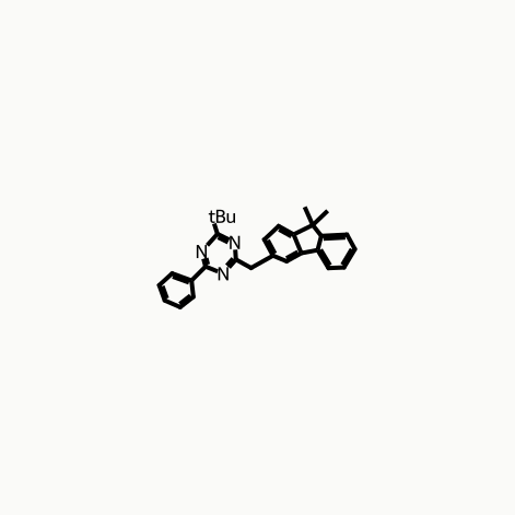 CC(C)(C)c1nc(Cc2ccc3c(c2)-c2ccccc2C3(C)C)nc(-c2ccccc2)n1